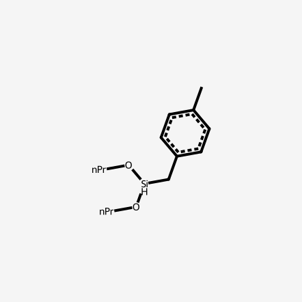 CCCO[SiH](Cc1ccc(C)cc1)OCCC